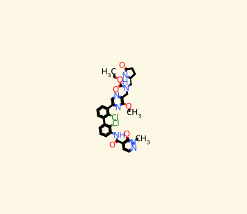 CCOC(=O)N(Cc1ncc(-c2cccc(-c3cccc(NC(=O)c4ccnn(C)c4=O)c3Cl)c2Cl)nc1OC)C[C@@H]1CCC(=O)N1